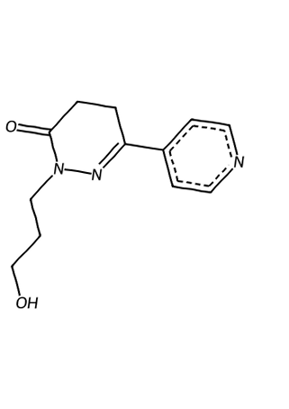 O=C1CCC(c2ccncc2)=NN1CCCO